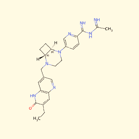 CCc1cc2ncc(CN3CCN(c4ccc(C(=N)NC(C)=N)nc4)[C@@H]4CC[C@H]43)cc2[nH]c1=O